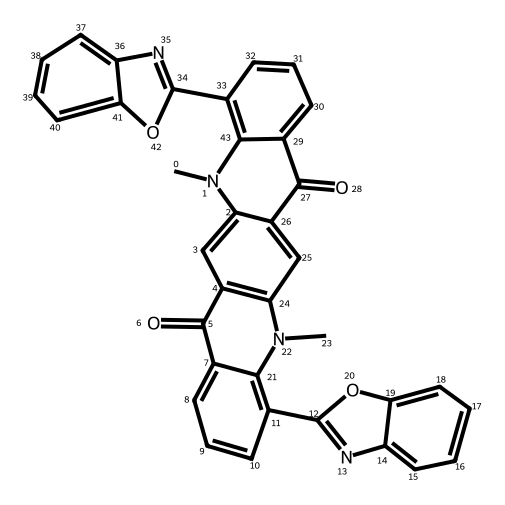 Cn1c2cc3c(=O)c4cccc(-c5nc6ccccc6o5)c4n(C)c3cc2c(=O)c2cccc(-c3nc4ccccc4o3)c21